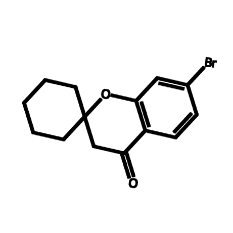 O=C1CC2(CCCCC2)Oc2cc(Br)ccc21